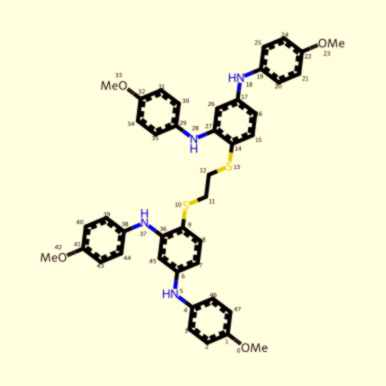 COc1ccc(Nc2ccc(SCCSc3ccc(Nc4ccc(OC)cc4)cc3Nc3ccc(OC)cc3)c(Nc3ccc(OC)cc3)c2)cc1